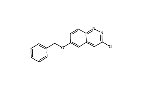 Clc1cc2cc(OCc3ccccc3)ccc2nn1